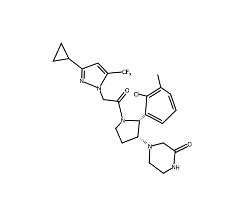 Cc1cccc([C@@H]2[C@H](N3CCNC(=O)C3)CCN2C(=O)Cn2nc(C3CC3)cc2C(F)(F)F)c1Cl